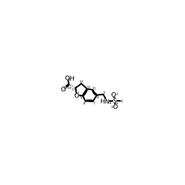 CS(=O)(=O)NCc1ccc2c(c1)C[C@@H](C(=O)O)O2